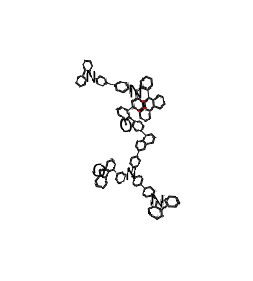 c1cc(-c2cccc3oc4ccccc4c23)cc(N(c2ccc(-c3ccc(-n4c5ccccc5c5ccccc54)cc3)cc2)c2ccc(-c3ccc4c(-c5ccc6c(c5)oc5cccc(-c7cccc(N(c8ccc(-c9ccc(-n%10c%11ccccc%11c%11ccccc%11%10)cc9)cc8)c8ccccc8-c8cc9ccccc9c9ccccc89)c7)c56)cccc4c3)cc2)c1